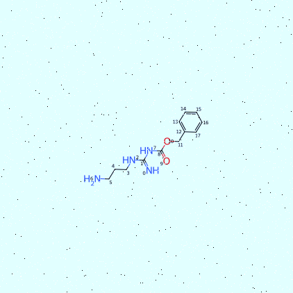 N=C(NCCCN)NC(=O)OCc1ccccc1